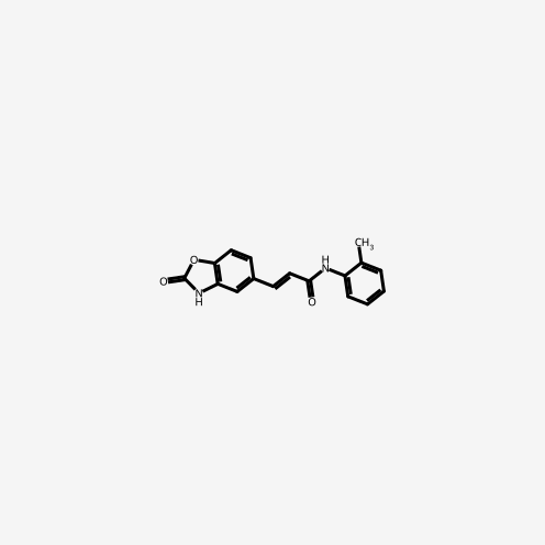 Cc1ccccc1NC(=O)/C=C/c1ccc2oc(=O)[nH]c2c1